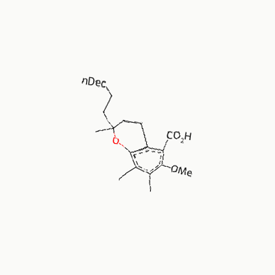 CCCCCCCCCCCCC1(C)CCc2c(c(C)c(C)c(OC)c2C(=O)O)O1